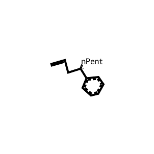 C=CC[C](CCCCC)c1ccccc1